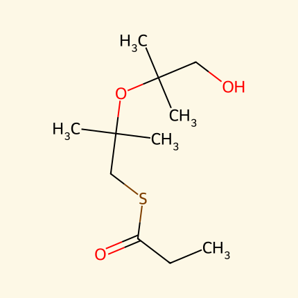 CCC(=O)SCC(C)(C)OC(C)(C)CO